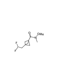 CON(C)C(=O)C12CC(CC(F)F)(C1)C2